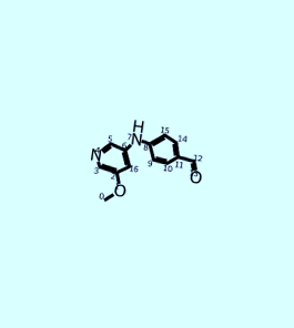 COc1cncc(Nc2ccc(C=O)cc2)c1